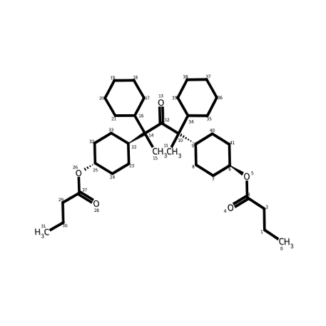 CCCC(=O)O[C@H]1CC[C@H](C(C)(C(=O)C(C)(C2CCCCC2)[C@H]2CC[C@H](OC(=O)CCC)CC2)C2CCCCC2)CC1